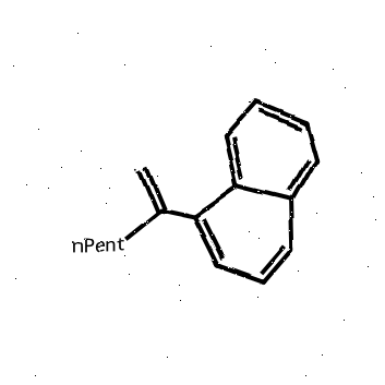 [CH]=C(CCCCC)c1cccc2ccccc12